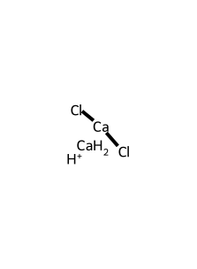 [CaH2].[Cl][Ca][Cl].[H+]